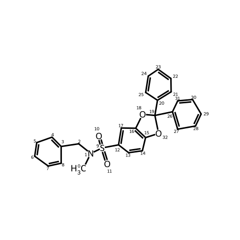 CN(Cc1ccccc1)S(=O)(=O)c1ccc2c(c1)OC(c1ccccc1)(c1ccccc1)O2